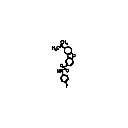 CN(C)C1CCc2oc3ccc(S(=O)(=O)Nc4ccc(F)cc4)cc3c2C1